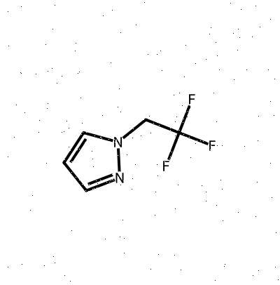 FC(F)(F)Cn1cccn1